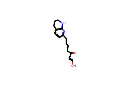 O=C(/C=C/O)CCCCc1ccc2c(n1)NCCC2